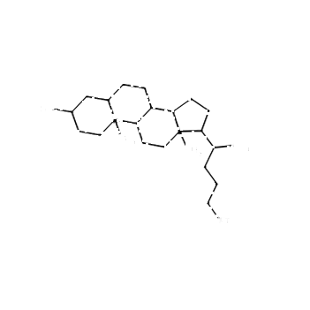 CC(C)CCCC(C)C1CCC2C3CCC4CC(S)CCC4(C)C3CCC12C